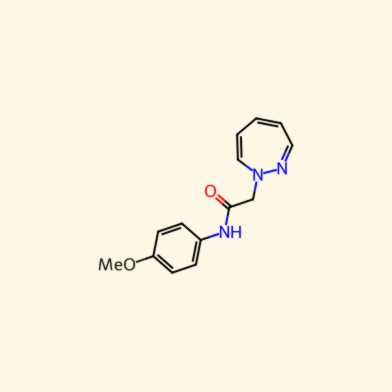 COc1ccc(NC(=O)CN2C=CC=CC=N2)cc1